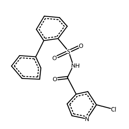 O=C(NS(=O)(=O)c1ccccc1-c1ccccc1)c1ccnc(Cl)c1